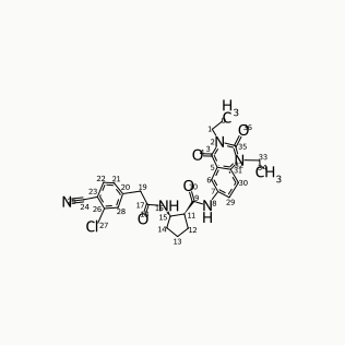 CCn1c(=O)c2cc(NC(=O)[C@H]3CCC[C@H]3NC(=O)Cc3ccc(C#N)c(Cl)c3)ccc2n(CC)c1=O